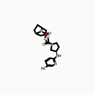 CC(C)(C)OC(=O)N1C2CCC1CC(OC(=O)N1CC[C@@H](Nc3ccc(C#N)cn3)C1)C2